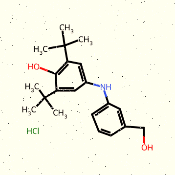 CC(C)(C)c1cc(Nc2cccc(CO)c2)cc(C(C)(C)C)c1O.Cl